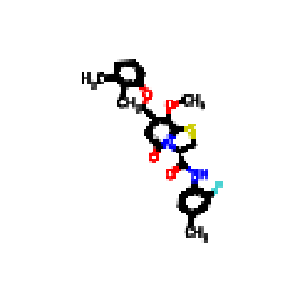 COc1c(COc2cccc(C)c2C)cc(=O)n2c1SC[C@H]2C(=O)Nc1ccc(C)cc1F